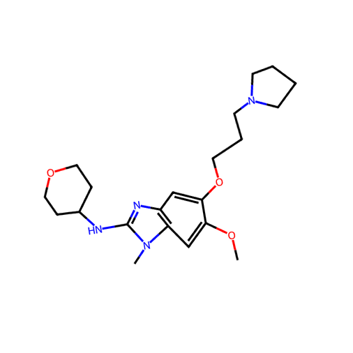 COc1cc2c(cc1OCCCN1CCCC1)nc(NC1CCOCC1)n2C